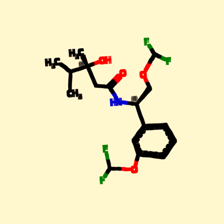 CC(C)[C@](C)(O)CC(=O)N[C@@H](COC(F)F)c1cccc(OC(F)F)c1